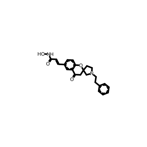 O=C(/C=C/c1ccc2c(c1)C(=O)CC1(CCN(CCc3ccccc3)C1)O2)NO